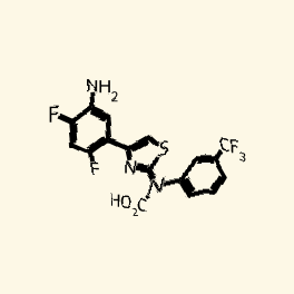 Nc1cc(-c2csc(N(C(=O)O)c3cccc(C(F)(F)F)c3)n2)c(F)cc1F